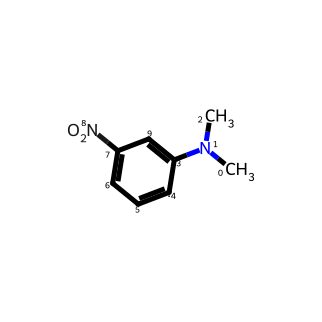 CN(C)c1[c]ccc([N+](=O)[O-])c1